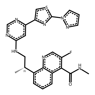 CNC(=O)c1c(F)cnc2c([C@H](C)CNc3cc(-c4csc(-n5cccn5)n4)ncn3)cccc12